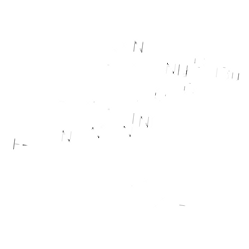 CC(C)(C)OC(=O)NCc1ncccc1C(C(N)=O)c1cc(F)c(N2CC[C@@H](F)C2)nc1NCCc1cccc(F)c1